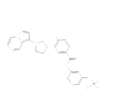 Cc1ccc(C(=O)Nc2cncc(OC(F)(F)F)c2)cc1[C@@H]1CCN(c2cnn3ccncc23)C1